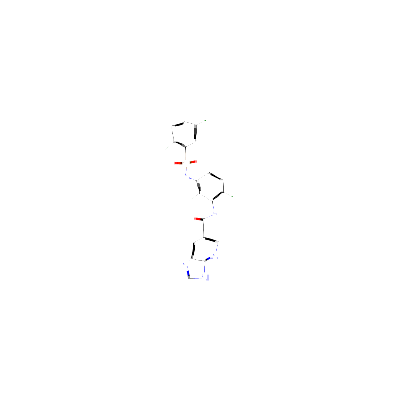 O=C(Nc1c(F)ccc(NS(=O)(=O)c2cc(F)ccc2F)c1F)c1cnc2[nH]cnc2c1